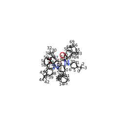 CC(C)(C)c1ccc(N2c3cc(C45CC6CC(CC(C6)C4)C5)cc4c3B(c3cc(C(C)(C)C)ccc3N4c3ccc(C(C)(C)C)cc3-c3ccccc3)c3oc4cc5c(cc4c32)C(C)(C)CCC5(C)C)cc1